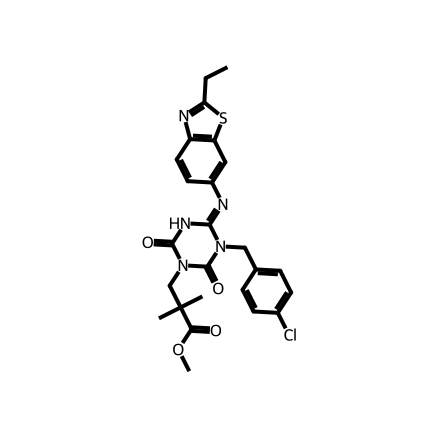 CCc1nc2ccc(/N=c3\[nH]c(=O)n(CC(C)(C)C(=O)OC)c(=O)n3Cc3ccc(Cl)cc3)cc2s1